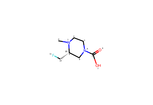 CN1CCN(C(=O)O)C[C@@H]1CF